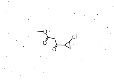 COC(=O)CC(=O)C1CC1Cl